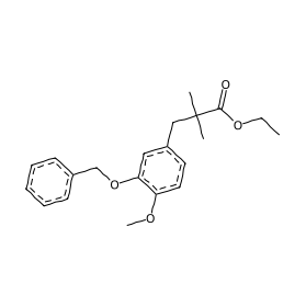 CCOC(=O)C(C)(C)Cc1ccc(OC)c(OCc2ccccc2)c1